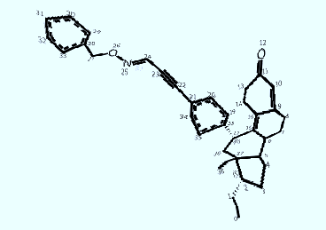 CC[C@H]1CCC2C3CCC4=CC(=O)CCC4=C3[C@@H](c3ccc(C#C/C=N/OCc4ccccc4)cc3)CC21C